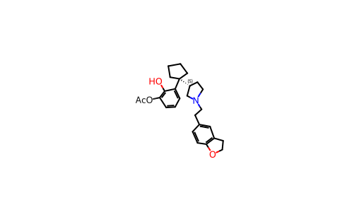 CC(=O)Oc1cccc(C2([C@@H]3CCN(CCc4ccc5c(c4)CCO5)C3)CCCC2)c1O